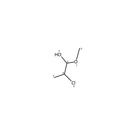 COC(O)C(C)Cl